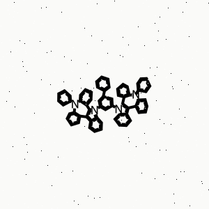 c1ccc(-c2cc(-n3c4c(c5ccccc53)-c3ccccc3N(c3ccccc3)c3ccccc3-4)cc(-n3c4c(c5ccccc53)-c3ccccc3N(c3ccccc3)c3ccccc3-4)c2)cc1